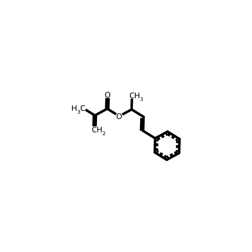 C=C(C)C(=O)OC(C)C=Cc1ccccc1